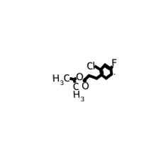 CC(C)OC(=O)CCC1=C(Cl)C=C(F)[CH]C1